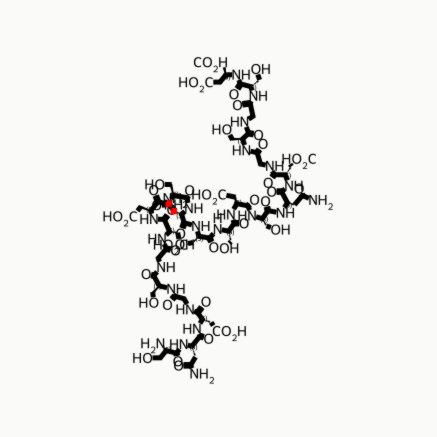 NC(=O)C[C@H](NC(=O)[C@H](CO)NC(=O)[C@H](CC(=O)O)NC(=O)[C@H](CO)NC(=O)[C@H](CC(=O)O)NC(=O)[C@H](CC(N)=O)NC(=O)[C@H](CO)NC(=O)[C@H](CC(=O)O)NC(=O)[C@H](CO)NC(=O)CNC(=O)[C@H](CO)NC(=O)CNC(=O)[C@H](CC(=O)O)NC(=O)[C@H](CC(N)=O)NC(=O)[C@@H](N)CO)C(=O)N[C@@H](CC(=O)O)C(=O)NCC(=O)N[C@@H](CO)C(=O)NCC(=O)N[C@@H](CO)C(=O)N[C@@H](CC(=O)O)C(=O)O